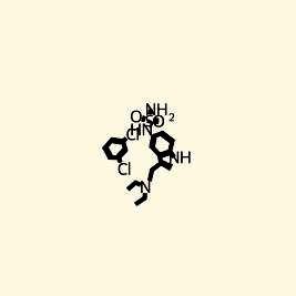 CCN(CC)CCc1c[nH]c2ccc(NS(N)(=O)=O)cc12.Clc1cccc(Cl)c1